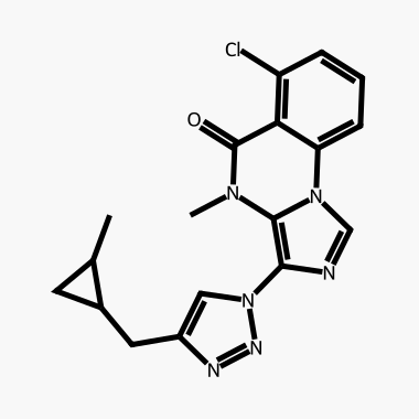 CC1CC1Cc1cn(-c2ncn3c4cccc(Cl)c4c(=O)n(C)c23)nn1